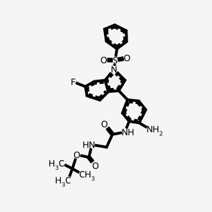 CC(C)(C)OC(=O)NCC(=O)Nc1cc(-c2cn(S(=O)(=O)c3ccccc3)c3cc(F)ccc23)ccc1N